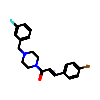 O=C(/C=C/c1ccc(Br)cc1)N1CCN(Cc2cccc(F)c2)CC1